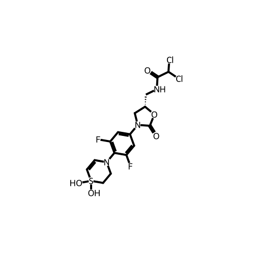 O=C(NC[C@H]1CN(c2cc(F)c(N3C=CS(O)(O)CC3)c(F)c2)C(=O)O1)C(Cl)Cl